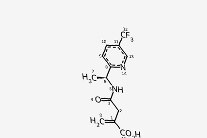 C=C(CC(=O)N[C@@H](C)c1ccc(C(F)(F)F)cn1)C(=O)O